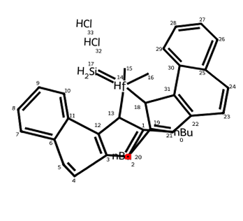 CCCCC1=Cc2ccc3ccccc3c2[CH]1[Hf]([CH3])([CH3])(=[SiH2])[CH]1C(CCCC)=Cc2ccc3ccccc3c21.Cl.Cl